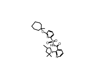 CC1CN(c2ncccc2C(=O)NS(=O)(=O)c2cccc(OC3(C)CCCCCC3)n2)C(C)(C)C1